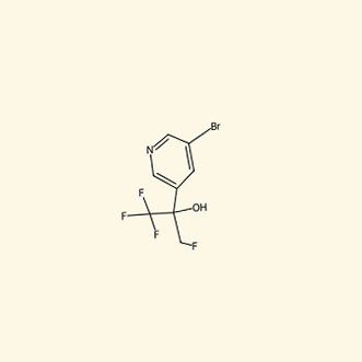 OC(CF)(c1cncc(Br)c1)C(F)(F)F